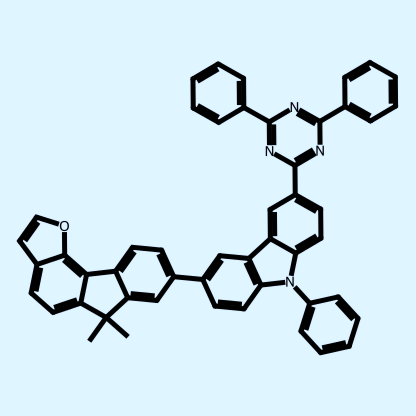 CC1(C)c2cc(-c3ccc4c(c3)c3cc(-c5nc(-c6ccccc6)nc(-c6ccccc6)n5)ccc3n4-c3ccccc3)ccc2-c2c1ccc1ccoc21